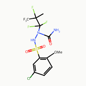 COc1ccc(Cl)cc1S(=O)(=O)NN(C(N)=O)C(F)(F)C(C)(F)C(F)(F)F